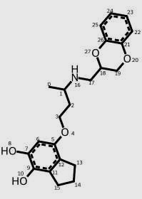 CC(CCOc1cc(O)c(O)c2c1CCC2)NCC1COc2ccccc2O1